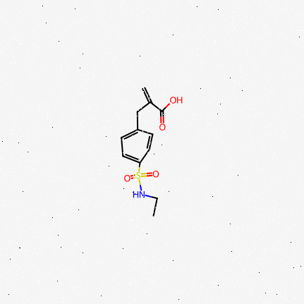 C=C(Cc1ccc(S(=O)(=O)NCC)cc1)C(=O)O